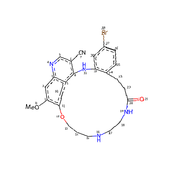 COc1cc2ncc(C#N)c3c2cc1OCCCNCCNC(=O)CCc1ccc(Br)cc1N3